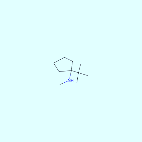 CNC1(C(C)(C)C)CCCC1